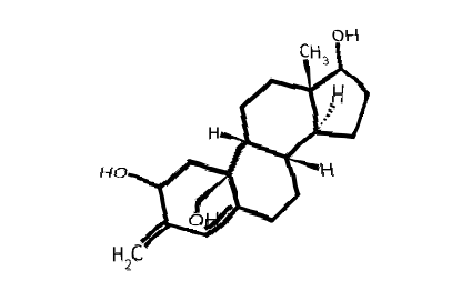 C=C1C=C2CC[C@@H]3[C@@H](CC[C@]4(C)C(O)CC[C@@H]34)[C@@]2(CO)CC1O